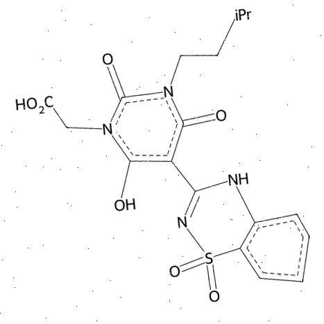 CC(C)CCn1c(=O)c(C2=NS(=O)(=O)c3ccccc3N2)c(O)n(CC(=O)O)c1=O